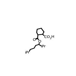 CC(C)CCCC(OC(=O)C1CCCCC1C(=O)O)C(C)C